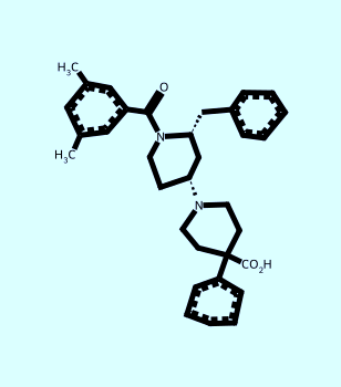 Cc1cc(C)cc(C(=O)N2CC[C@@H](N3CCC(C(=O)O)(c4ccccc4)CC3)C[C@H]2Cc2ccccc2)c1